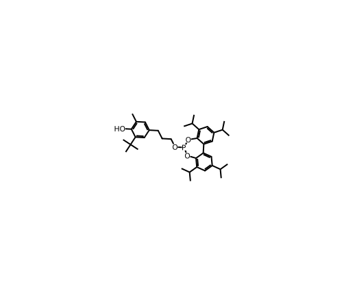 Cc1cc(CCCOp2oc3c(C(C)C)cc(C(C)C)cc3c3cc(C(C)C)cc(C(C)C)c3o2)cc(C(C)(C)C)c1O